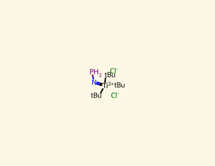 C[C](C)(C)[Ti+2](=[N]P)([C](C)(C)C)[C](C)(C)C.[Cl-].[Cl-]